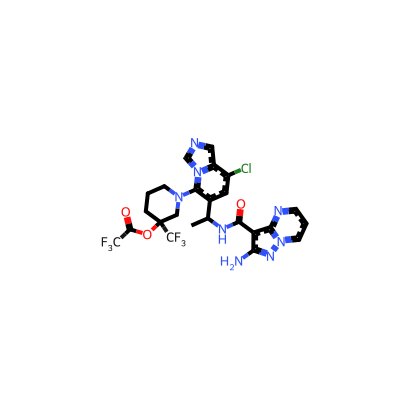 CC(NC(=O)c1c(N)nn2cccnc12)c1cc(Cl)c2cncn2c1N1CCCC(OC(=O)C(F)(F)F)(C(F)(F)F)C1